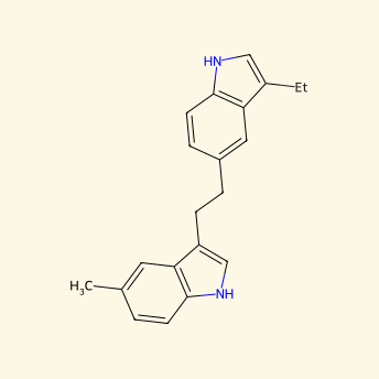 CCc1c[nH]c2ccc(CCc3c[nH]c4ccc(C)cc34)cc12